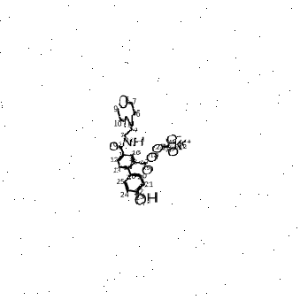 O=C(NCCN1CCOCC1)c1ccc2c(c1)c(=O)oc1cc(O)ccc12.O=C([O-])[O-].[K+].[K+]